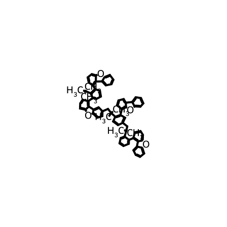 CC(C)(C)c1c(-c2cccc3oc4ccccc4c23)cccc1-c1cccc2oc3ccc(CC(C)(C)c4ccc(CC(C)(C)c5ccccc5-c5cccc6oc7ccccc7c56)cc4-c4cccc5c4oc4ccccc45)cc3c12